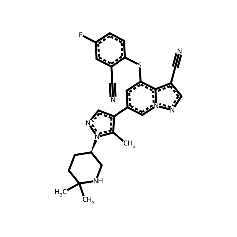 Cc1c(-c2cc(Sc3ccc(F)cc3C#N)c3c(C#N)cnn3c2)cnn1[C@@H]1CCC(C)(C)NC1